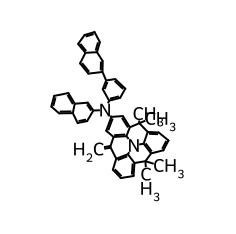 C=C1c2cccc3c2N2c4c1cc(N(c1cccc(-c5ccc6ccccc6c5)c1)c1ccc5ccccc5c1)cc4C(C)(C)c1cccc(c12)C3(C)C